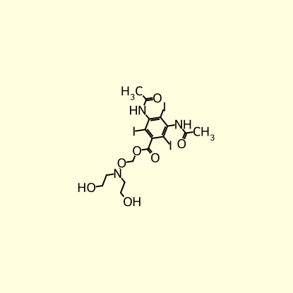 CC(=O)Nc1c(I)c(NC(C)=O)c(I)c(C(=O)OCON(CCO)CCO)c1I